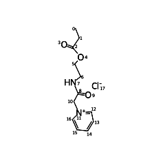 CCC(=O)OCCNC(=O)C[n+]1ccccc1.[Cl-]